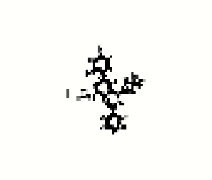 COc1cc(-c2ccc(F)cc2F)cc2c(N3CC(F)(F)C3)nc(-c3cccnc3)nc12